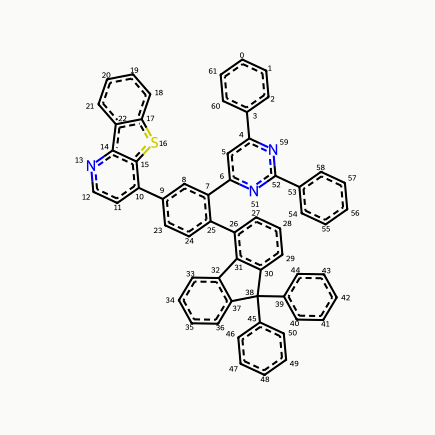 c1ccc(-c2cc(-c3cc(-c4ccnc5c4sc4ccccc45)ccc3-c3cccc4c3-c3ccccc3C4(c3ccccc3)c3ccccc3)nc(-c3ccccc3)n2)cc1